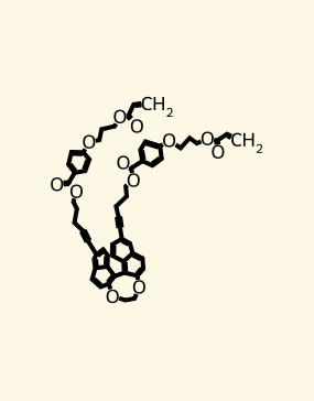 C=CC(=O)OCCCOc1ccc(C(=O)OCCCC#Cc2ccc3c4c(ccc3c2)OCCOc2ccc3cc(C#CCCCOC(=O)c5ccc(OCCCOC(=O)C=C)cc5)ccc3c2-4)cc1